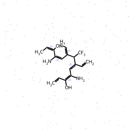 C=C/C(O)=C(N)\C=C(/C=C)C(C(/C=C(N)\C(O)=C/C)=C/C)C(F)(F)F